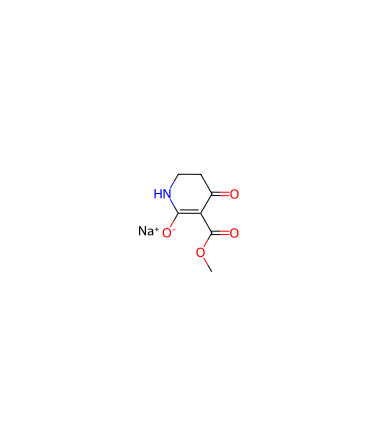 COC(=O)C1=C([O-])NCCC1=O.[Na+]